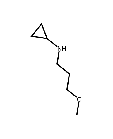 COCCCNC1CC1